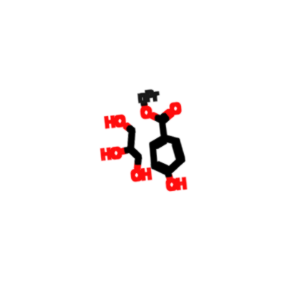 CCCOC(=O)c1ccc(O)cc1.OCC(O)CO